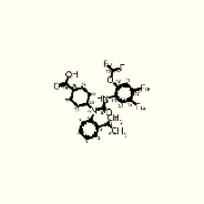 CC(C)c1ccccc1N(C(=O)Nc1cc(F)c(F)cc1OC(F)F)C1CCC(C(=O)O)CC1